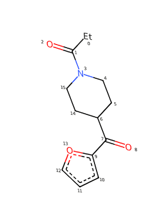 [CH2]CC(=O)N1CCC(C(=O)c2ccco2)CC1